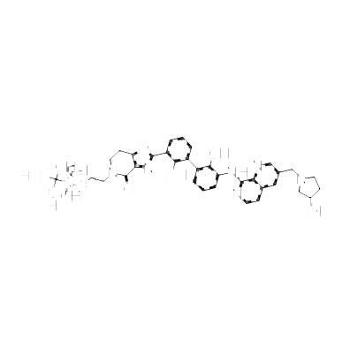 Cc1c(Nc2nccc3cc(CN4CC[C@@H](O)C4)cnc23)cccc1-c1cccc(-c2nc3c(o2)CCN(CCO[Si](C)(C)C(C)(C)C)C3=O)c1C